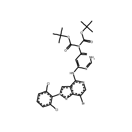 C=C(/C=C(\N=C/N)Nc1ncc(Br)c2nn(-c3c(Cl)cccc3Cl)cc12)N(C(=O)OC(C)(C)C)C(=O)OC(C)(C)C